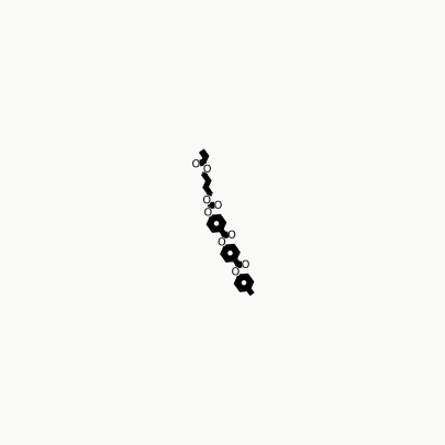 C=CC(=O)OCCCCOC(=O)Oc1ccc(C(=O)Oc2ccc(C(=O)Oc3ccc(C)cc3)cc2)cc1